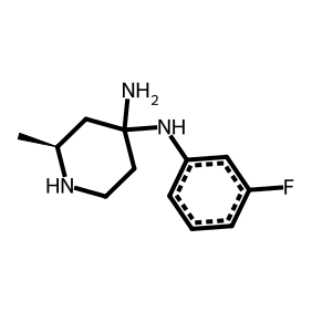 C[C@H]1CC(N)(Nc2cccc(F)c2)CCN1